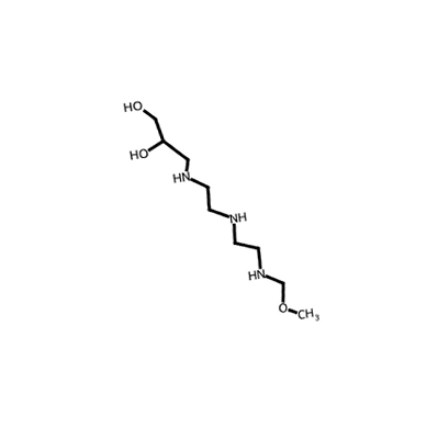 COCNCCNCCNCC(O)CO